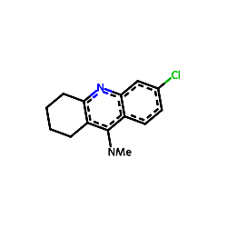 CNc1c2c(nc3cc(Cl)ccc13)CCCC2